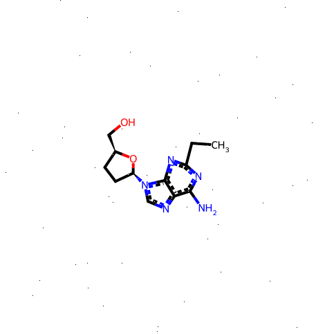 CCc1nc(N)c2ncn([C@H]3CC[C@@H](CO)O3)c2n1